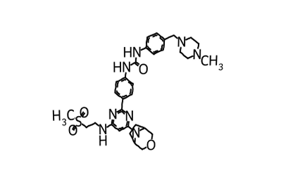 CN1CCN(Cc2ccc(NC(=O)Nc3ccc(-c4nc(NCCS(C)(=O)=O)cc(N5C6CCC5COC6)n4)cc3)cc2)CC1